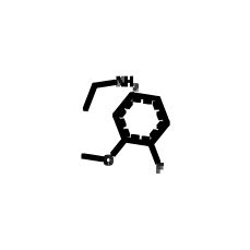 CCN.COc1ccccc1F